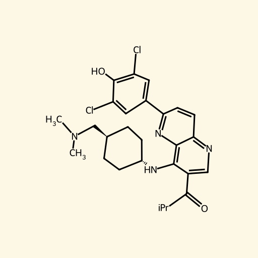 CC(C)C(=O)c1cnc2ccc(-c3cc(Cl)c(O)c(Cl)c3)nc2c1N[C@H]1CC[C@H](CN(C)C)CC1